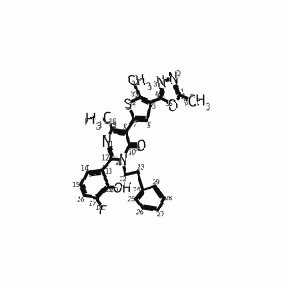 Cc1nnc(-c2cc(-c3c(C)nc(-c4cccc(F)c4O)n(CCc4ccccc4)c3=O)sc2C)o1